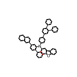 c1ccc(-c2ccc(-c3ccc(N(c4ccc5oc6ccccc6c5c4)c4cc(-c5ccc6ccccc6c5)ccc4-c4ccccc4)cc3)cc2-c2ccccc2)cc1